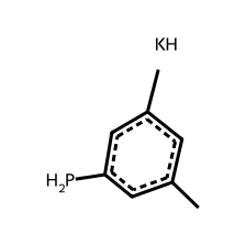 Cc1cc(C)cc(P)c1.[KH]